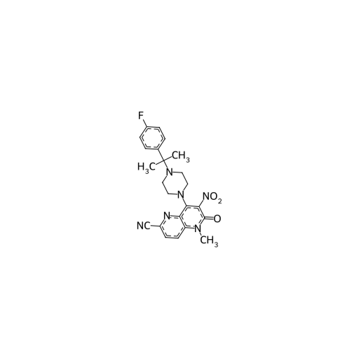 Cn1c(=O)c([N+](=O)[O-])c(N2CCN(C(C)(C)c3ccc(F)cc3)CC2)c2nc(C#N)ccc21